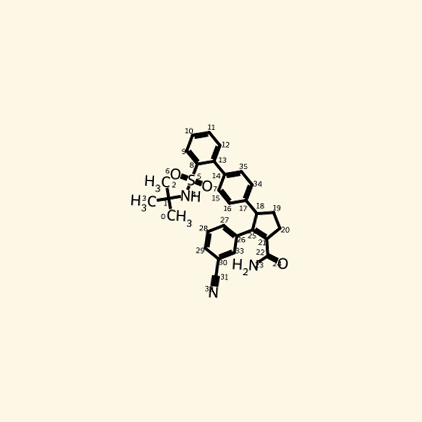 CC(C)(C)NS(=O)(=O)c1ccccc1-c1ccc(C2CCC(C(N)=O)=C2c2cccc(C#N)c2)cc1